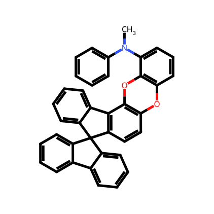 CN(c1ccccc1)c1cccc2c1Oc1c(ccc3c1-c1ccccc1C31c3ccccc3-c3ccccc31)O2